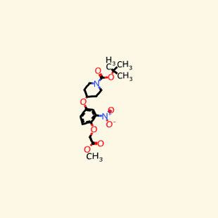 COC(=O)COc1ccc(OC2CCN(C(=O)OC(C)(C)C)CC2)cc1[N+](=O)[O-]